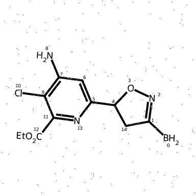 BC1=NOC(c2cc(N)c(Cl)c(C(=O)OCC)n2)C1